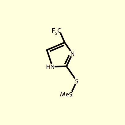 CSSc1nc(C(F)(F)F)c[nH]1